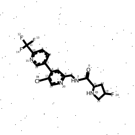 O=C(NCc1cc(-c2ccc(C(F)(F)F)nc2)c(Cl)cn1)C1CC(F)CN1